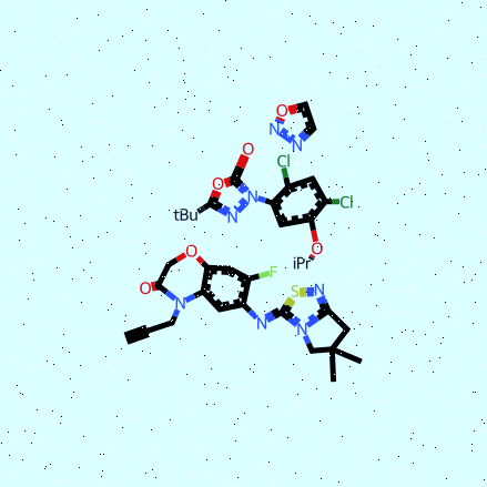 C#CCN1C(=O)COc2cc(F)c(/N=c3\snc4n3CC(C)(C)C4)cc21.CC(C)Oc1cc(-n2nc(C(C)(C)C)oc2=O)c(Cl)cc1Cl.c1conn1